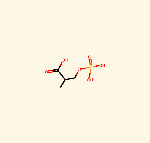 CC(COP(=O)(O)O)C(=O)O